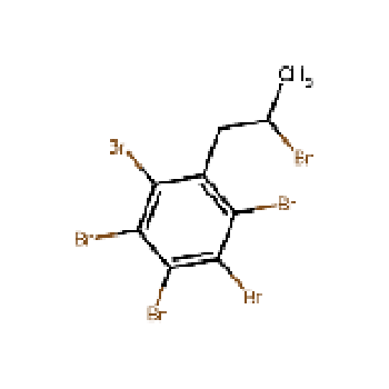 CC(Br)Cc1c(Br)c(Br)c(Br)c(Br)c1Br